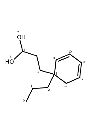 CCCC1(CCC(O)O)C=CC=CC1